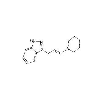 C(=CN1CCCCC1)Cc1n[nH]c2ccccc12